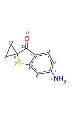 Nc1ccc2c(c1)SC1(CC1)C2=O